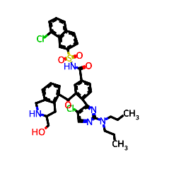 CCCN(CCC)c1ncc(Cl)c(-c2ccc(C(=O)NS(=O)(=O)c3ccc4cccc(Cl)c4c3)cc2C(=O)c2cccc3c2CC(CO)NC3)n1